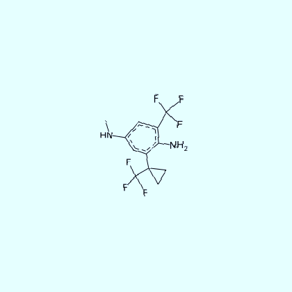 CNc1cc(C(F)(F)F)c(N)c(C2(C(F)(F)F)CC2)c1